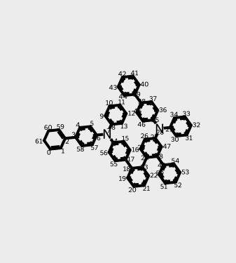 C1=CC(c2ccc(N(c3ccccc3)c3ccc(-c4ccccc4-c4ccc(N(c5ccccc5)c5ccc(-c6ccccc6)cc5)cc4-c4ccccc4)cc3)cc2)=CCC1